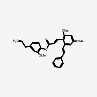 C=CCc1ccc(OC(=O)/C=C/c2c(/C=C/c3ccccc3)cc(OC)cc2OC)c(OC)c1